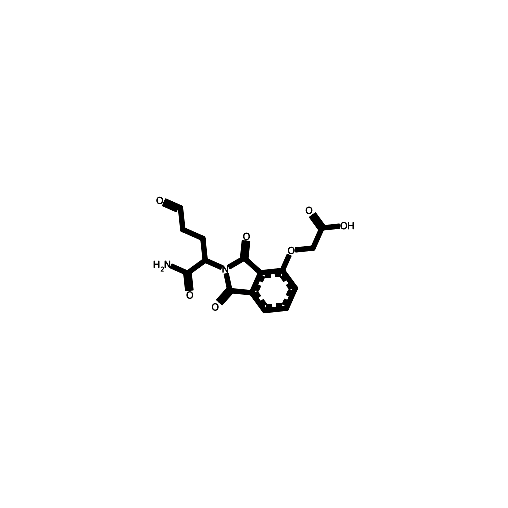 NC(=O)C(CCC=O)N1C(=O)c2cccc(OCC(=O)O)c2C1=O